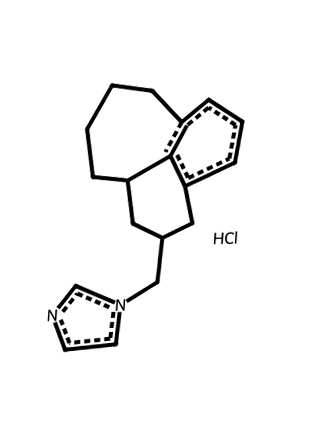 Cl.c1cc2c3c(c1)CC(Cn1ccnc1)CC3CCCC2